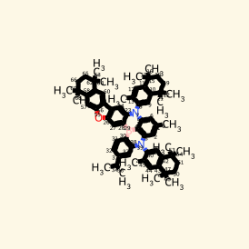 Cc1cc2c3c(c1)N(c1cc4c(cc1C)C(C)(C)CCC4(C)C)c1cc4c(cc1B3c1ccc(C(C)C)cc1N2c1cc2c(cc1C)C(C)(C)CCC2(C)C)oc1cc2c(cc14)C(C)(C)CCC2(C)C